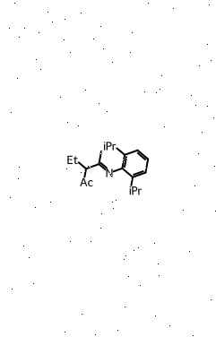 CCC(C(C)=O)/C(C)=N/c1c(C(C)C)cccc1C(C)C